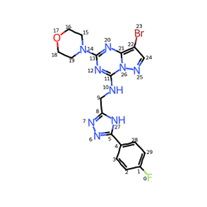 Fc1ccc(-c2nnc(CNc3nc(N4CCOCC4)nc4c(Br)cnn34)[nH]2)cc1